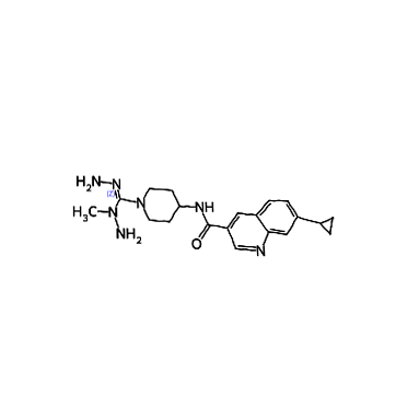 CN(N)/C(=N\N)N1CCC(NC(=O)c2cnc3cc(C4CC4)ccc3c2)CC1